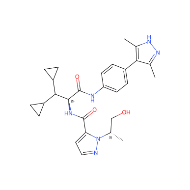 Cc1n[nH]c(C)c1-c1ccc(NC(=O)[C@@H](NC(=O)c2ccnn2[C@@H](C)CO)C(C2CC2)C2CC2)cc1